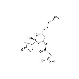 C=CCCC[C@@H]1CC(OC(=O)C=C(C)C)C[C@](O)([C@@H]2CSC(=O)N2)O1